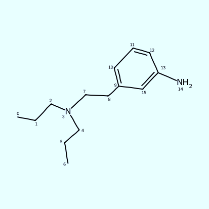 CCCN(CCC)CCc1cccc(N)c1